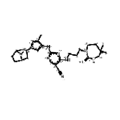 Cc1nn(C2CC3CCC(C2)N3C)cc1Nc1ncc(C#N)c(NCCCN2CCC(C)(C)COC2=O)n1